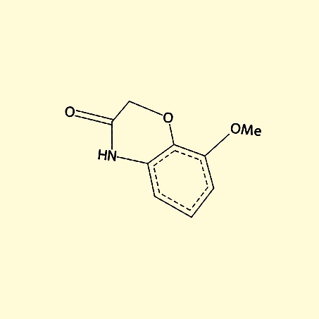 COc1cccc2c1OCC(=O)N2